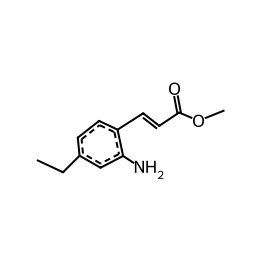 CCc1ccc(/C=C/C(=O)OC)c(N)c1